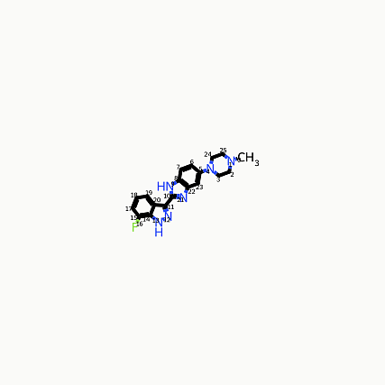 CN1CCN(c2ccc3[nH]c(-c4n[nH]c5c(F)cccc45)nc3c2)CC1